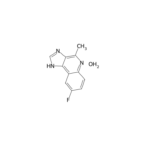 Cc1nc2ccc(F)cc2c2[nH]cnc12.O